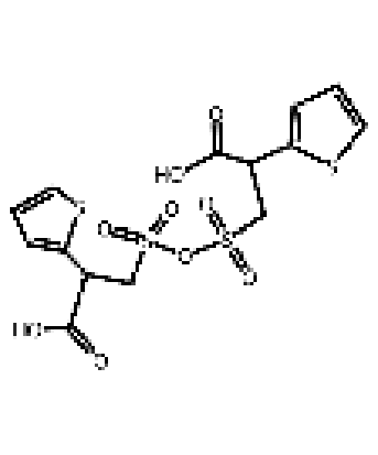 O=C(O)C(CS(=O)(=O)OS(=O)(=O)CC(C(=O)O)c1cccs1)c1cccs1